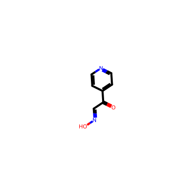 O=C(C=NO)c1ccncc1